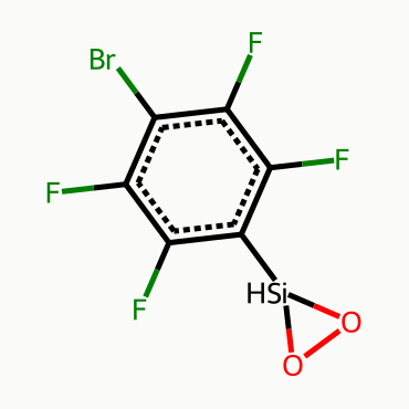 Fc1c(F)c([SiH]2OO2)c(F)c(F)c1Br